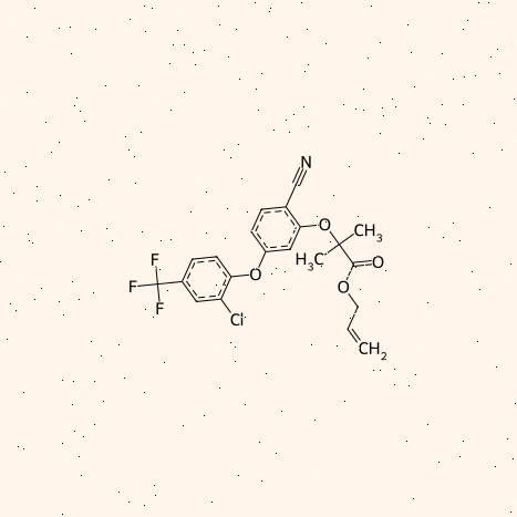 C=CCOC(=O)C(C)(C)Oc1cc(Oc2ccc(C(F)(F)F)cc2Cl)ccc1C#N